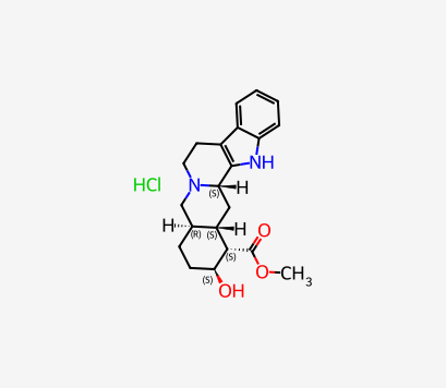 COC(=O)[C@H]1[C@H]2C[C@H]3c4[nH]c5ccccc5c4CCN3C[C@@H]2CC[C@@H]1O.Cl